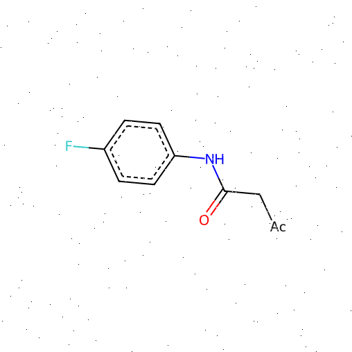 CC(=O)CC(=O)Nc1ccc(F)cc1